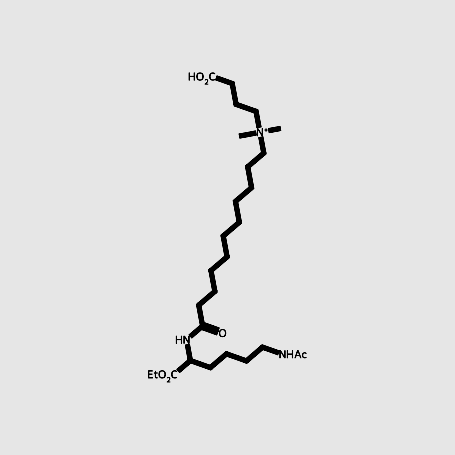 CCOC(=O)C(CCCCNC(C)=O)NC(=O)CCCCCCCCCC[N+](C)(C)CCCC(=O)O